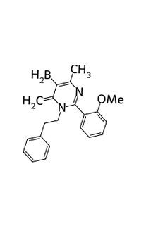 BC1=C(C)N=C(c2ccccc2OC)N(CCc2ccccc2)C1=C